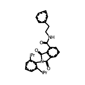 CC(C)c1cccc(C(C)C)c1N1C(=O)c2cccc(C(=O)NCCc3ccccc3)c2C1=O